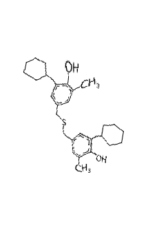 Cc1cc(CSCc2cc(C)c(O)c(C3CCCCC3)c2)cc(C2CCCCC2)c1O